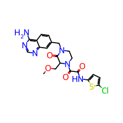 COCC1C(=O)N(Cc2ccc3c(N)ncnc3c2)CCN1C(=O)C(=O)Nc1ccc(Cl)s1